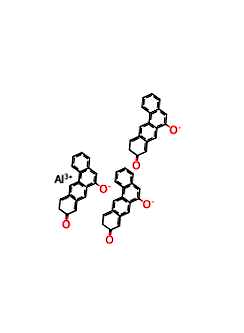 O=C1C=c2cc3c([O-])cc4ccccc4c3cc2=CC1.O=C1C=c2cc3c([O-])cc4ccccc4c3cc2=CC1.O=C1C=c2cc3c([O-])cc4ccccc4c3cc2=CC1.[Al+3]